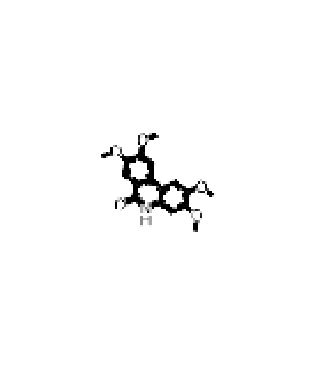 COc1cc2[nH]c(=O)c3cc(OC)c(OC)cc3c2cc1OC